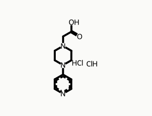 Cl.Cl.O=C(O)CN1CCN(c2ccncc2)CC1